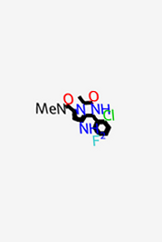 CNC(=O)c1cc(N)c2n1C(C)C(=O)NC2c1cc(F)ccc1Cl